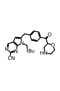 CC(C)(C)Cn1c(Cc2ccc(C(=O)C3CNCCO3)cc2)cc2cnc(C#N)nc21